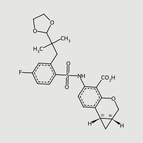 CC(C)(Cc1cc(F)ccc1S(=O)(=O)Nc1ccc2c(c1C(=O)O)OC[C@@H]1C[C@H]21)C1OCCO1